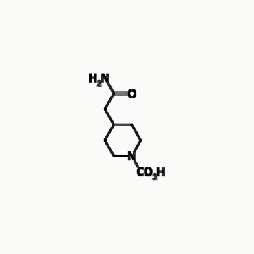 NC(=O)CC1CCN(C(=O)O)CC1